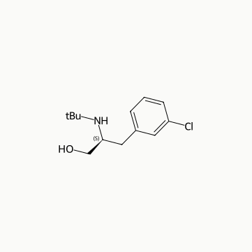 CC(C)(C)N[C@H](CO)Cc1cccc(Cl)c1